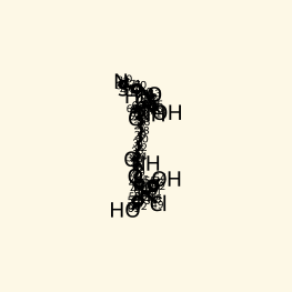 Cc1ncsc1-c1ccc(CNC(=O)[C@@H]2C[C@@H](O)CN2C(=O)[C@@H](NC(=O)CCCCCCCCCC(=O)NCCOc2ccc(C(=C(CCCl)c3ccc(O)cc3)c3ccc(O)cc3)cc2)C(C)(C)C)cc1